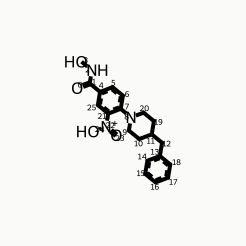 O=C(NO)c1ccc(N2CCC(Cc3ccccc3)CC2)c([N+](=O)O)c1